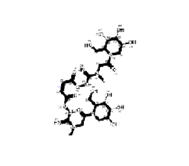 CN(CC(=O)N1C[C@H](O)[C@@H](O)[C@@H](O)C1CO)C(=N)NOC(=O)/C=C\C(=O)ONC(=N)N(C)CC(=O)N1C[C@H](O)[C@@H](O)[C@@H](O)C1CO